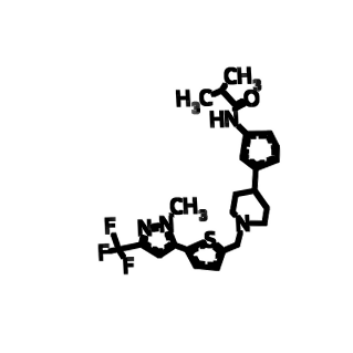 CC(C)C(=O)Nc1cccc(C2CCN(Cc3ccc(-c4cc(C(F)(F)F)nn4C)s3)CC2)c1